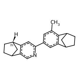 Cc1cc(-c2cc3c(cn2)C2CC[C@H]3C2)cc2c1C1CCC2C1